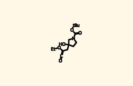 CCOC(=C=O)CC1(O)CCN(C(=O)OC(C)(C)C)C1